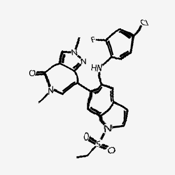 CCS(=O)(=O)n1ccc2cc(Nc3ccc(Cl)cc3F)c(-c3cn(C)c(=O)c4cn(C)nc34)cc21